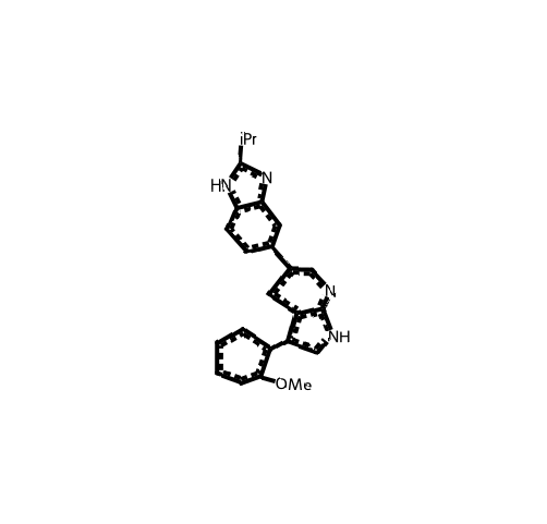 COc1ccccc1-c1c[nH]c2ncc(-c3ccc4[nH]c(C(C)C)nc4c3)cc12